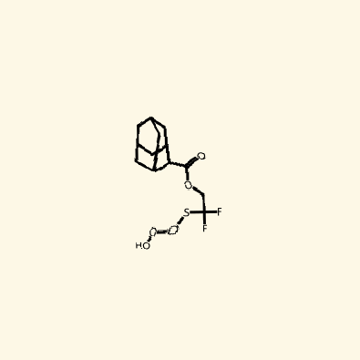 O=C(OCC(F)(F)SOOO)C1C2CC3CC(C2)CC1C3